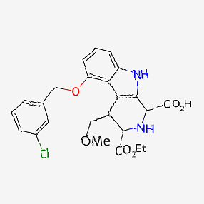 CCOC(=O)C1NC(C(=O)O)c2[nH]c3cccc(OCc4cccc(Cl)c4)c3c2C1COC